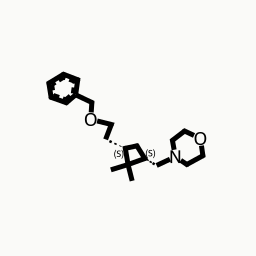 CC1(C)[C@H](CCOCc2ccccc2)C[C@@H]1CN1CCOCC1